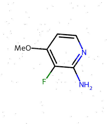 COc1ccnc(N)c1F